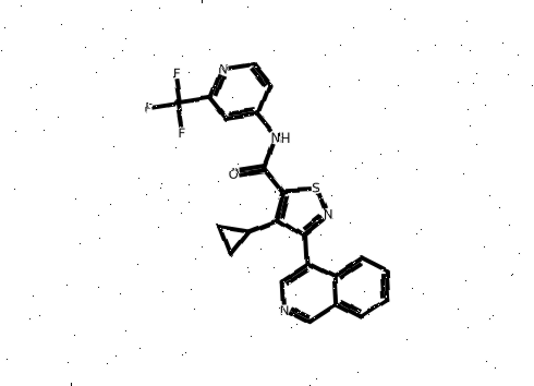 O=C(Nc1ccnc(C(F)(F)F)c1)c1snc(-c2cncc3ccccc23)c1C1CC1